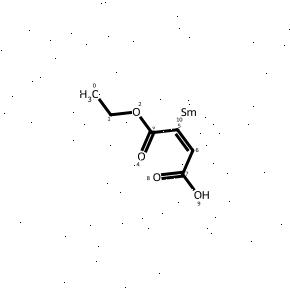 CCOC(=O)/C=C\C(=O)O.[Sm]